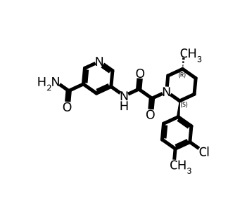 Cc1ccc([C@@H]2CC[C@@H](C)CN2C(=O)C(=O)Nc2cncc(C(N)=O)c2)cc1Cl